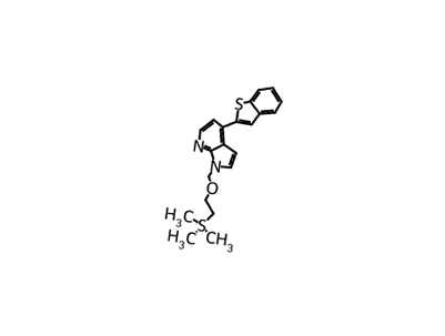 CS(C)(C)CCOCn1ccc2c(-c3cc4ccccc4s3)ccnc21